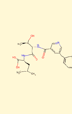 CC(C)C[C@H](NC(=O)[C@@H](NC(=O)c1cncc(-c2ccccc2)c1)[C@@H](C)O)B(O)O